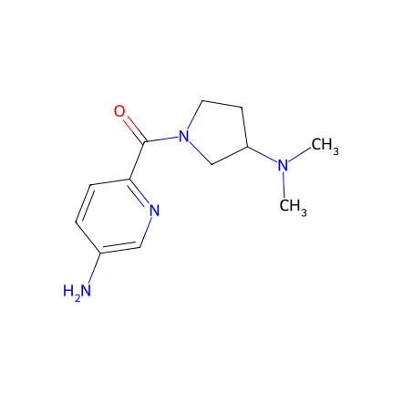 CN(C)C1CCN(C(=O)c2ccc(N)cn2)C1